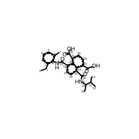 CCc1cccc(C)c1NC(=O)c1ccc(C(=O)NC(C)C(C)C)c2c(C(=O)O)ccc(C(=O)O)c12